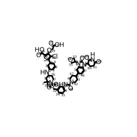 CC1(C)C[C@H](Nc2cccc(-c3sc(C(=O)O)c(OCC(=O)O)c3Cl)c2)CCN1S(=O)(=O)Cc1cccc(NC(=O)N2CCC(c3ccc4c(c3)n(C3COC3)c(=O)n4C3CCC(=O)NC3=O)CC2)c1